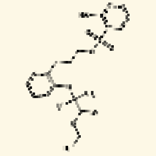 CCOC(=O)C(C)(C)Oc1ccccc1CCCOS(=O)(=O)c1ccccc1C